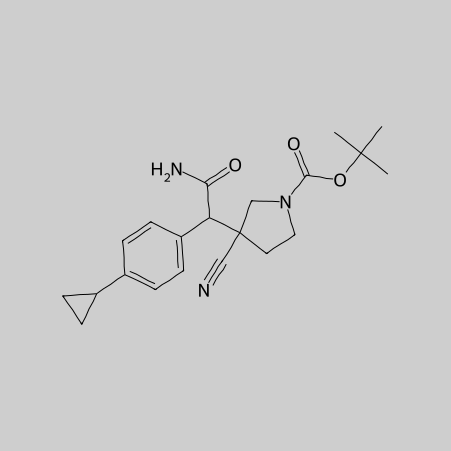 CC(C)(C)OC(=O)N1CCC(C#N)(C(C(N)=O)c2ccc(C3CC3)cc2)C1